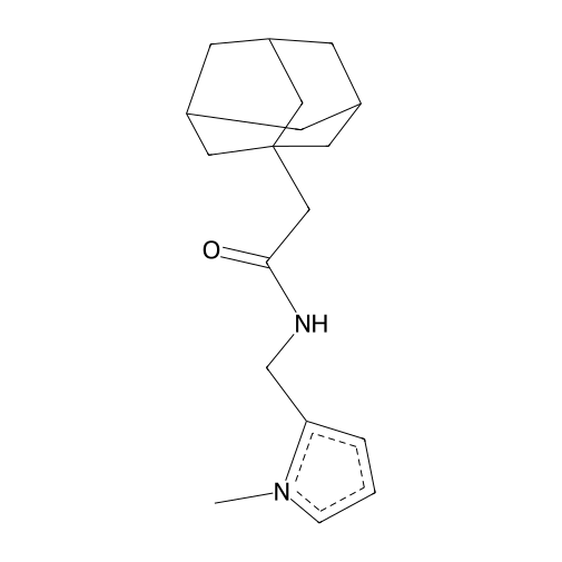 Cn1cccc1CNC(=O)CC12CC3CC(CC(C3)C1)C2